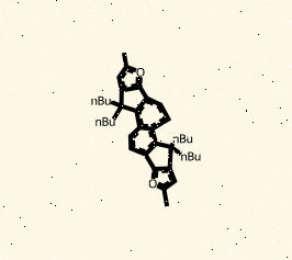 CCCCC1(CCCC)c2cc(C)oc2-c2ccc3c4c(ccc3c21)-c1oc(C)cc1C4(CCCC)CCCC